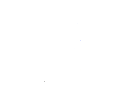 CNc1cc(-c2cccc(OC(F)(F)F)c2)n(CCC(F)(F)F)n1